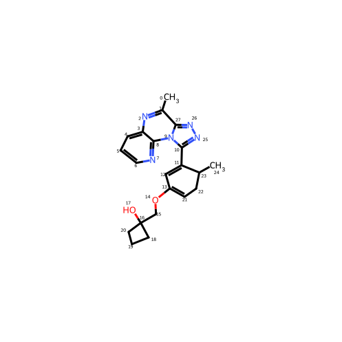 Cc1nc2cccnc2n2c(C3=CC(OCC4(O)CCC4)=CCC3C)nnc12